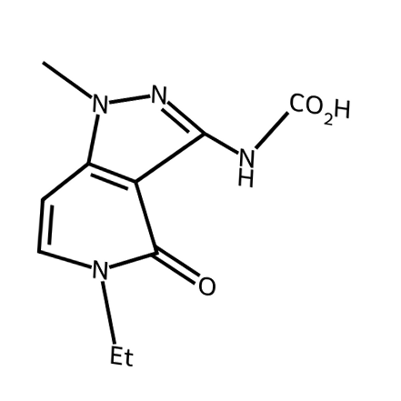 CCn1ccc2c(c(NC(=O)O)nn2C)c1=O